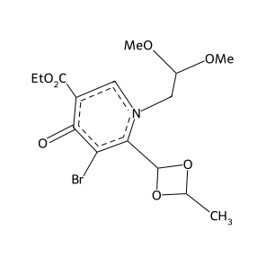 CCOC(=O)c1cn(CC(OC)OC)c(C2OC(C)O2)c(Br)c1=O